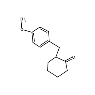 COc1ccc(CC2CCCCC2=O)cc1